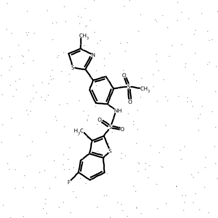 Cc1csc(-c2ccc(NS(=O)(=O)c3sc4ccc(F)cc4c3C)c(S(C)(=O)=O)c2)n1